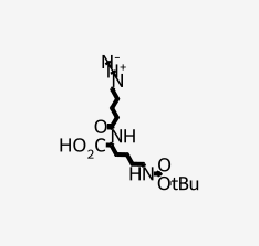 CC(C)(C)OC(=O)NCCCCC(NC(=O)CCCCN=[N+]=[N-])C(=O)O